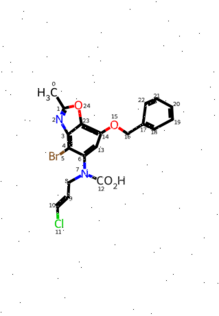 Cc1nc2c(Br)c(N(CC=CCl)C(=O)O)cc(OCc3ccccc3)c2o1